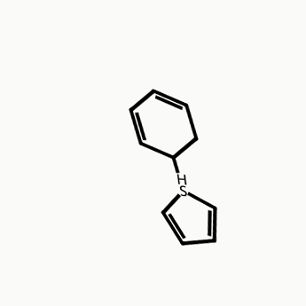 C1=CCC([SH]2C=CC=C2)C=C1